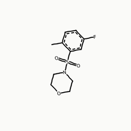 Cc1ccc(F)cc1S(=O)(=O)N1CCOCC1